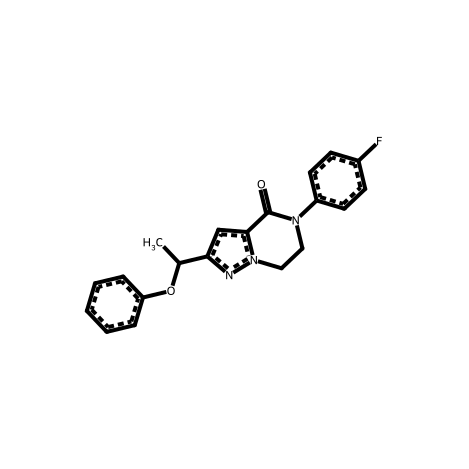 CC(Oc1ccccc1)c1cc2n(n1)CCN(c1ccc(F)cc1)C2=O